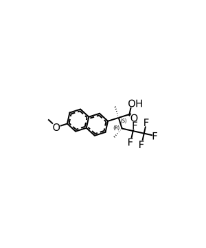 COc1ccc2cc([C@@](C)(C(=O)O)[C@@H](C)C(F)(F)C(F)(F)F)ccc2c1